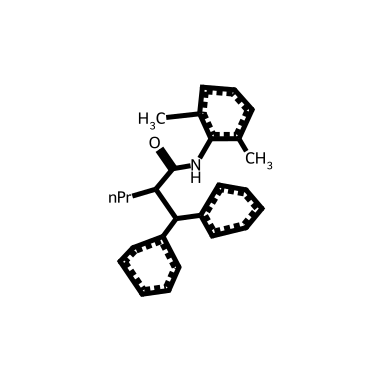 CCCC(C(=O)Nc1c(C)cccc1C)C(c1ccccc1)c1ccccc1